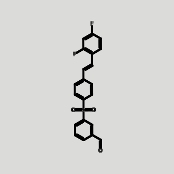 O=Cc1cccc(S(=O)(=O)c2ccc(C=Cc3ccc(F)cc3F)cc2)c1